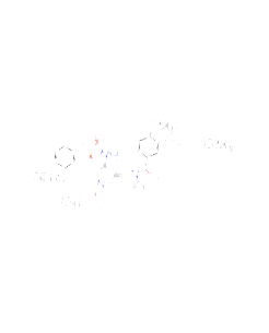 COCCCOc1cc(C(=O)N(C[C@@H]2CN(C(=O)OC(C)(C)C)C[C@H]2NS(=O)(=O)Cc2cccc(NC(C)=O)c2)C(C)C)ccc1OC